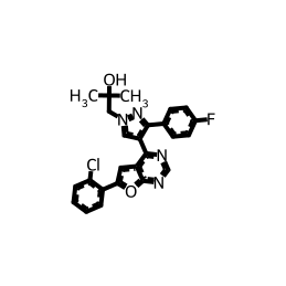 CC(C)(O)Cn1cc(-c2ncnc3oc(-c4ccccc4Cl)cc23)c(-c2ccc(F)cc2)n1